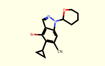 N#Cc1cc2c(cnn2C2CCCCO2)c(Br)c1C1CC1